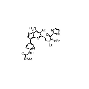 CCCN(C(=O)c1ncn[nH]1)[C@H](CC)CCc1nc2c(-c3ccc(NC(=O)NC)nc3)cnn2c(N)c1C(C)=O